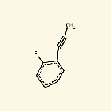 [CH2]C#Cc1ccccc1F